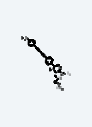 COBNC[C@H](NC(=O)c1ccc(C#CC#Cc2ccc(N)cc2)cc1)C(=O)OC